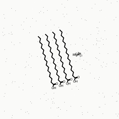 CCCCCCCCCCCCCCCCCC(=O)O.CCCCCCCCCCCCCCCCCC(=O)O.CCCCCCCCCCCCCCCCCC(=O)O.CCCCCCCCCCCCCCCCCC(=O)O.[CaH2].[MgH2].[Zn]